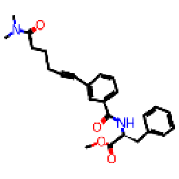 COC(=O)[C@H](Cc1ccccc1)NC(=O)c1cccc(C#CCCCC(=O)N(C)C)c1